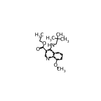 CCOC(=O)c1cnc2c(OC)cccc2c1NCC(C)(C)C